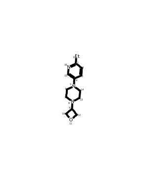 CCc1ccc(N2CCN(C3COC3)CC2)cn1